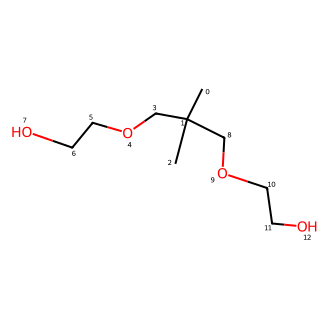 CC(C)(COCCO)COCCO